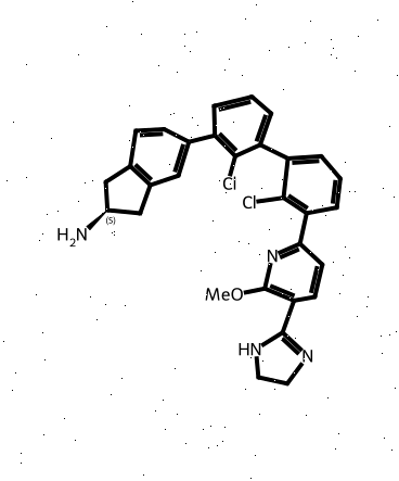 COc1nc(-c2cccc(-c3cccc(-c4ccc5c(c4)C[C@@H](N)C5)c3Cl)c2Cl)ccc1C1=NCCN1